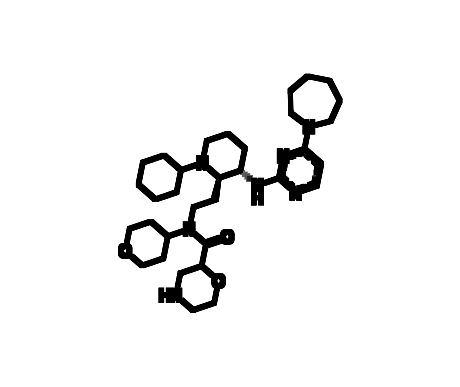 O=C(C1CNCCO1)N(CC[C@@H]1[C@@H](Nc2nccc(N3CCCCCC3)n2)CCCN1C1CCCCC1)C1CCOCC1